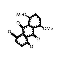 COc1ccc(OC)c2c(=O)c3c(=O)ccc(=O)c=3c(=O)c12